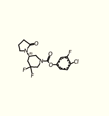 O=C(Oc1ccc(Cl)c(F)c1)N1C[C@H](N2CCCC2=O)CC(F)(F)C1